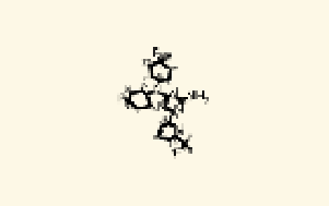 CC(F)(F)c1cccc(-c2nc(N)nc(N(C3CCC(F)(F)CC3)C3CCC(F)(F)CC3)n2)n1